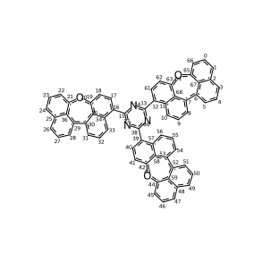 c1cc2cccc3c4cccc5c(-c6nc(-c7ccc8oc9cccc%10cccc(c%11cccc7c8%11)c%109)nc(-c7ccc8oc9cccc%10cccc(c%11cccc7c8%11)c%109)n6)ccc(oc(c1)c23)c54